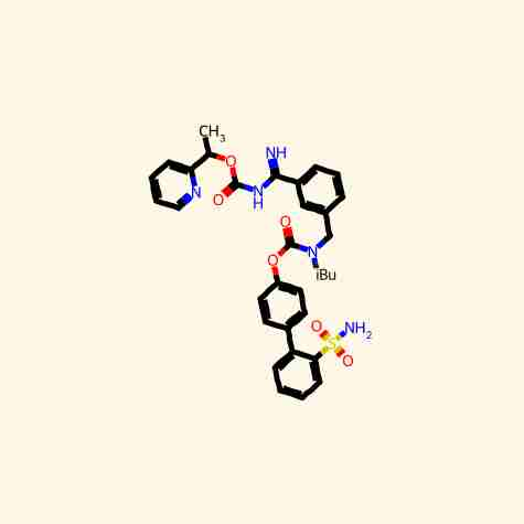 CCC(C)N(Cc1cccc(C(=N)NC(=O)OC(C)c2ccccn2)c1)C(=O)Oc1ccc(-c2ccccc2S(N)(=O)=O)cc1